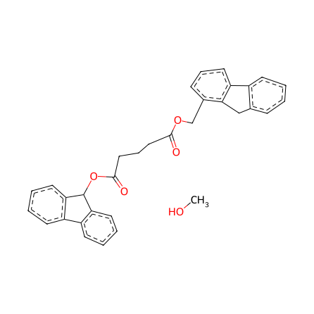 CO.O=C(CCCC(=O)OC1c2ccccc2-c2ccccc21)OCc1cccc2c1Cc1ccccc1-2